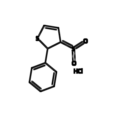 Cl.O=S(=O)=C1C=CSC1c1ccccc1